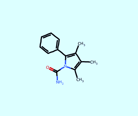 Cc1c(C)c(-c2ccccc2)n(C(N)=O)c1C